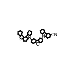 N#Cc1ccc2c(c1)c1ccccc1n2-c1ccc2oc3ccc(-n4c5ccccc5c5c6c(ccc54)sc4ccccc46)cc3c2c1